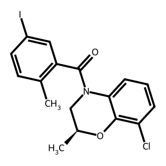 Cc1ccc(I)cc1C(=O)N1C[C@H](C)Oc2c(Cl)cccc21